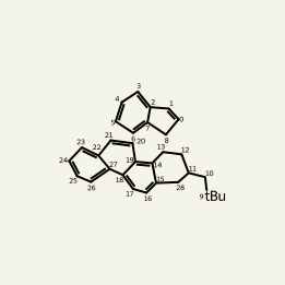 C1=Cc2ccccc2C1.CC(C)(C)CC1CCc2c(ccc3c2ccc2ccccc23)C1